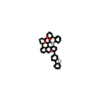 c1ccc(-c2ccccc2N(c2ccc(-c3ccc4c(c3)oc3ccccc34)cc2)c2ccccc2-c2cccc3cccc(C4CCCCC4)c23)cc1